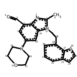 Cc1nc2c(C=O)cc(N3CCOCC3)cc2n1Cc1cccc2ccsc12